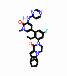 CCc1c(-c2cc(Nc3ccncn3)c(=O)n(C)c2)cc(F)cc1N1CCn2c(cc3c2C2CCC3C2)C1=O